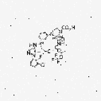 CC(=O)OC(F)(F)F.Cc1c(N[C@H]2CCCCCNC(=O)[C@H]3CN(C(=O)O)CCN3c3cccc2c3)cnn1-c1cccc(Cl)c1F